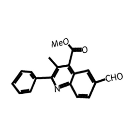 COC(=O)c1c(C)c(-c2ccccc2)nc2ccc(C=O)cc12